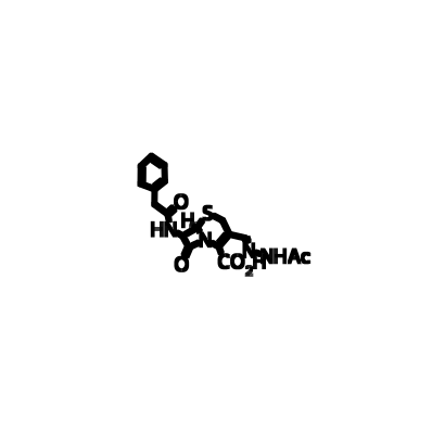 CC(=O)NN=CC1=C(C(=O)O)N2C(=O)C(NC(=O)Cc3ccccc3)[C@@H]2SC1